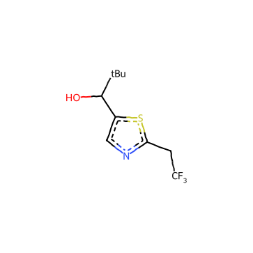 CC(C)(C)C(O)c1cnc(CC(F)(F)F)s1